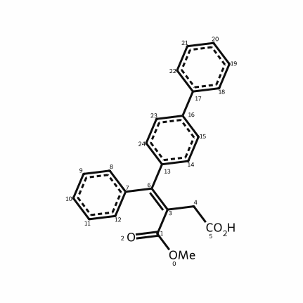 COC(=O)C(CC(=O)O)=C(c1ccccc1)c1ccc(-c2ccccc2)cc1